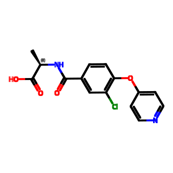 C[C@@H](NC(=O)c1ccc(Oc2ccncc2)c(Cl)c1)C(=O)O